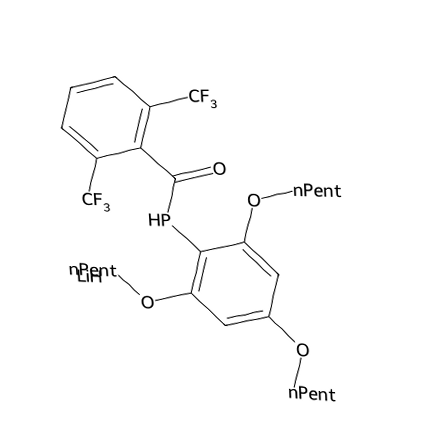 CCCCCOc1cc(OCCCCC)c(PC(=O)c2c(C(F)(F)F)cccc2C(F)(F)F)c(OCCCCC)c1.[LiH]